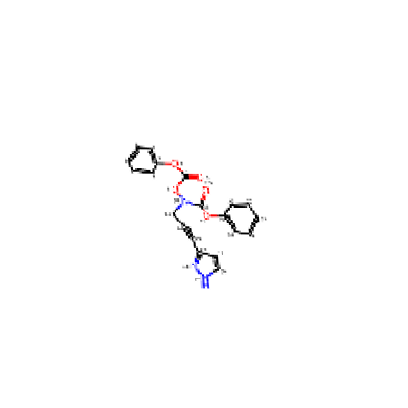 O=C(Oc1ccccc1)ON(CC#Cc1cc[nH]n1)C(=O)Oc1ccccc1